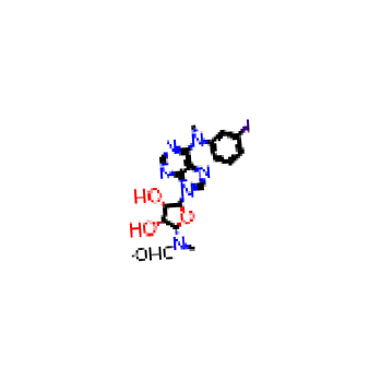 CN(c1cccc(I)c1)c1ncnc2c1ncn2C1O[C@H](N(C)[C]=O)[C@@H](O)[C@H]1O